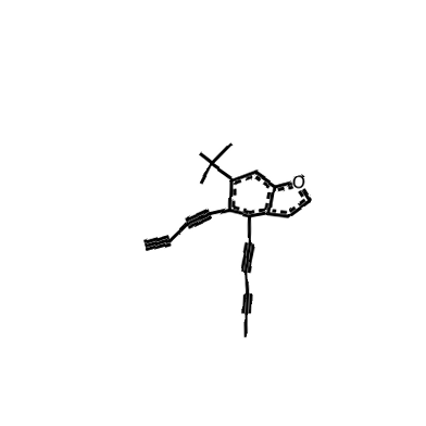 C#CC#Cc1c(C(C)(C)C)cc2occc2c1C#CC#CC